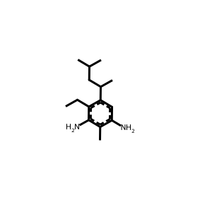 CCc1c(C(C)CC(C)C)cc(N)c(C)c1N